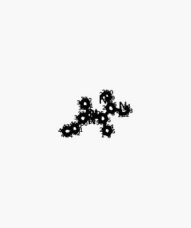 c1ccc(-c2cc(-c3cc(-c4ccccn4)cc(-c4ccccn4)c3)cc(-c3nc(-c4ccccc4)c4ccc(-c5ccc6ccccc6c5)cc4n3)c2)cc1